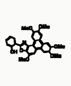 COc1cc2c3cc(OC)c(OC)cc3c3c(cc(OC)c4oc(-c5ccccc5O)nc43)c2cc1OC